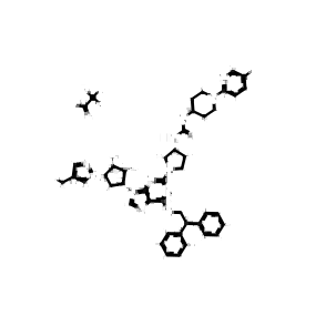 CCOC(=O)c1ccc(N2CCC(NC(=O)N[C@@H]3CCN(c4nc(NCC(c5ccccc5)c5ccccc5)c5ncn([C@@H]6C[C@H](n7cc(CO)cn7)[C@@H](O)[C@H]6O)c5n4)C3)CC2)nc1.O=C(O)C(F)(F)F